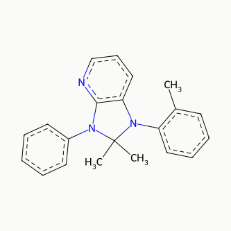 Cc1ccccc1N1c2cccnc2N(c2ccccc2)C1(C)C